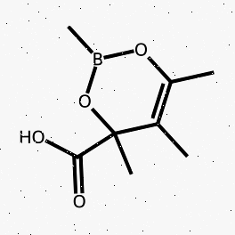 CB1OC(C)=C(C)C(C)(C(=O)O)O1